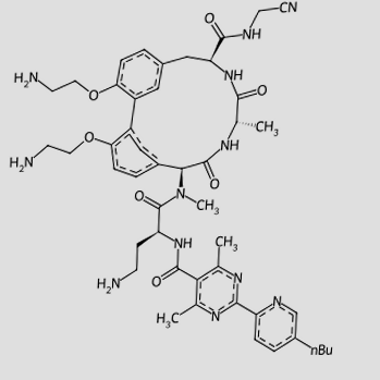 CCCCc1ccc(-c2nc(C)c(C(=O)N[C@@H](CCN)C(=O)N(C)[C@@H]3C(=O)N[C@@H](C)C(=O)N[C@H](C(=O)NCC#N)Cc4ccc(OCCN)c(c4)-c4cc3ccc4OCCN)c(C)n2)nc1